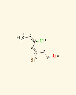 C/C=C(Cl)\C=C(\Br)CC=O